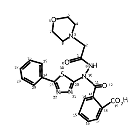 O=C(CN1CCOCC1)NN(C(=O)c1ccccc1C(=O)O)c1nnc(-c2ccccc2)s1